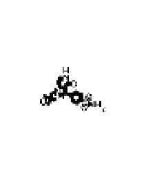 CC1(Cn2nc(-c3ccc(S(N)(=O)=O)cc3)c3c(=O)[nH]ccc32)COC1